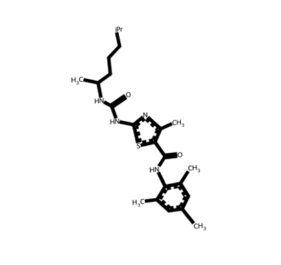 Cc1cc(C)c(NC(=O)c2sc(NC(=O)NC(C)CCCC(C)C)nc2C)c(C)c1